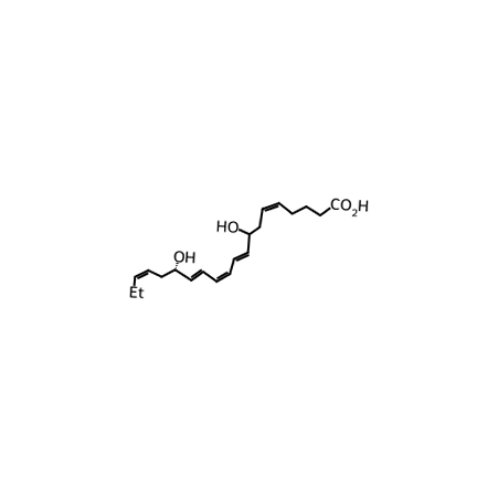 CC/C=C\C[C@H](O)/C=C/C=C\C=C\C(O)C/C=C\CCCC(=O)O